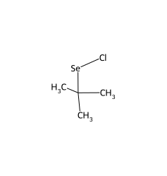 CC(C)(C)[Se]Cl